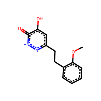 COc1ccccc1CCc1cc(O)c(=O)[nH]n1